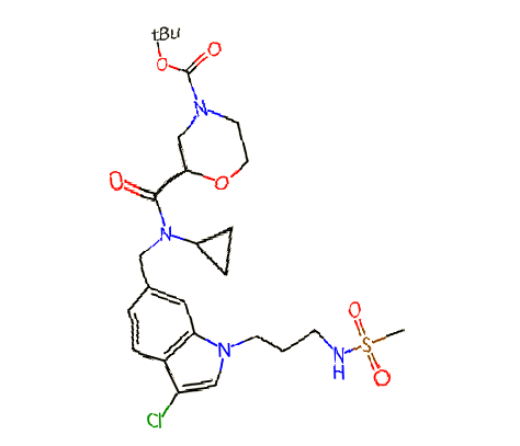 CC(C)(C)OC(=O)N1CCOC(C(=O)N(Cc2ccc3c(Cl)cn(CCCNS(C)(=O)=O)c3c2)C2CC2)C1